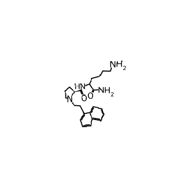 NCCCCC(NC(=O)[C@@H]1CCCN1CCc1cccc2ccccc12)C(N)=O